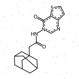 O=C(CC12CC3CC(CC(C3)C1)C2)Nn1cnc2ccsc2c1=O